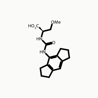 COC[C@@H](NC(=O)Nc1c2c(cc3c1CCC3)CCC2)C(=O)O